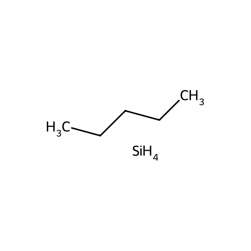 CCCCC.[SiH4]